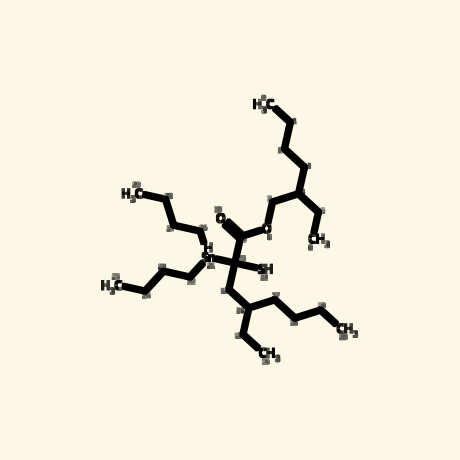 CCCCC(CC)COC(=O)[C](S)(CC(CC)CCCC)[SnH]([CH2]CCC)[CH2]CCC